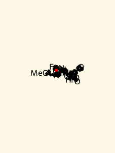 C=CC(CCCn1ccn(-c2c(-c3ccc(F)cc3)nn3c2[C@H](C)N(C(=O)c2cc4cc([C@@H]5CCOC(C)(C)C5)ccc4n2C2(c4noc(=O)[nH]4)CC2)CC3)c1=O)COC